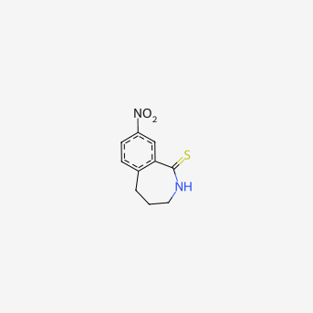 O=[N+]([O-])c1ccc2c(c1)C(=S)NCCC2